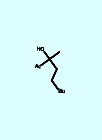 CCC(C)CCC(C)(O)C(C)=O